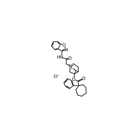 O=C(C[N+]12CCC(CC1)C(OC(=O)C1(c3ccccc3)CCCCCC1)C2)Nc1noc2ccccc12.[Cl-]